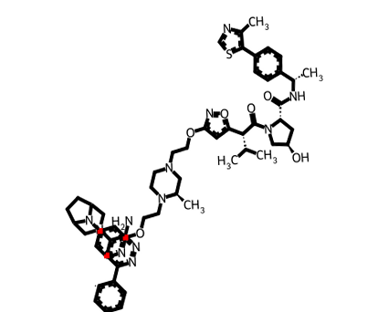 Cc1ncsc1-c1ccc([C@H](C)NC(=O)[C@@H]2C[C@@H](O)CN2C(=O)[C@@H](c2cc(OCCN3CCN(CCOc4cc(N5C6CCC5CN(c5cc(-c7[c]cccc7)nnc5N)C6)ccn4)[C@H](C)C3)no2)C(C)C)cc1